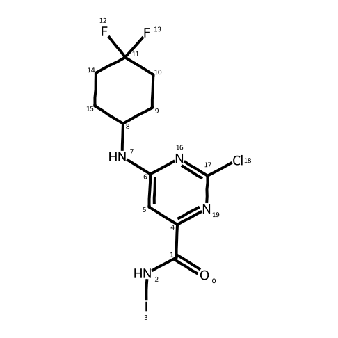 O=C(NI)c1cc(NC2CCC(F)(F)CC2)nc(Cl)n1